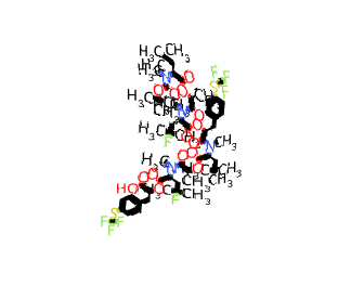 C[C@@H](OC(=O)[C@H](CC(C)(C)C)N(C)C(=O)OC(C)(C)C)C(=O)N(C)[C@@H](CC(C)(C)F)C(=O)O[C@@H](Cc1ccc(SC(F)(F)F)cc1)C(=O)N(C)[C@@H](CC(C)(C)C)C(=O)O[C@H](C)C(=O)N(C)[C@@H](CC(C)(C)F)C(=O)O[C@@H](Cc1ccc(SC(F)(F)F)cc1)C(=O)O